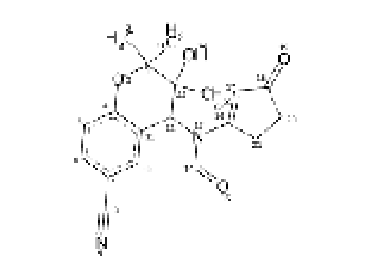 CC1(C)Oc2ccc(C#N)cc2C(N(C=O)C2=CC(=O)CC2)C1(C)O